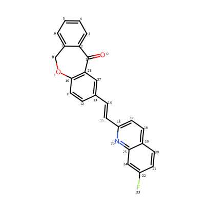 O=C1c2ccccc2COc2ccc(/C=C/c3ccc4ccc(F)cc4n3)cc21